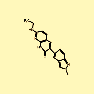 Cn1cc2cc(-c3cc4ccc(NCC(F)(F)F)nc4[nH]c3=O)ccc2n1